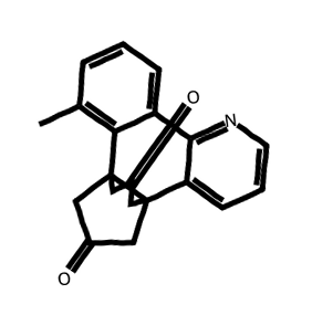 Cc1cccc2c1C13CC(=O)CC1(CC(=O)C3)c1cccnc1-2